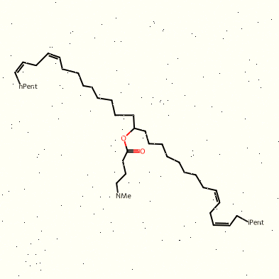 CCCCC/C=C\C/C=C\CCCCCCCCC(CCCCCCCC/C=C\C/C=C\CC(C)CCC)OC(=O)CCCNC